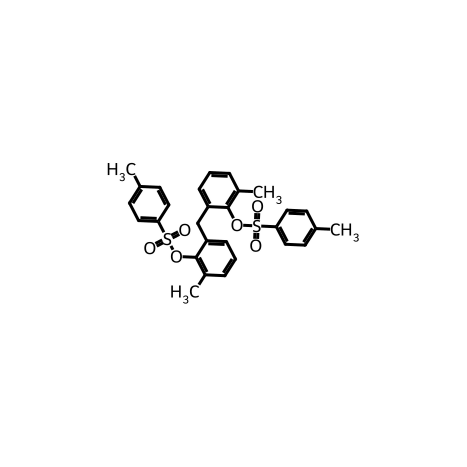 Cc1ccc(S(=O)(=O)Oc2c(C)cccc2Cc2cccc(C)c2OS(=O)(=O)c2ccc(C)cc2)cc1